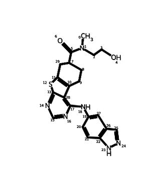 CN(CCO)C(=O)C1CCc2c(sc3ncnc(Nc4ccc5[nH]ncc5c4)c23)C1